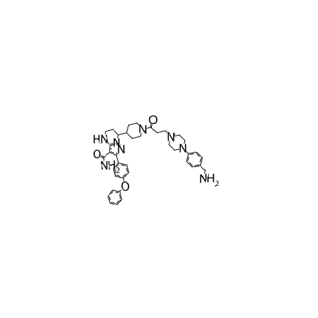 NCc1ccc(N2CCN(CCC(=O)N3CCC(C4CCNc5c(C(N)=O)c(-c6ccc(Oc7ccccc7)cc6)nn54)CC3)CC2)cc1